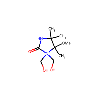 COC1(C)C(C)(C)NC(=O)[N+]1(CO)CO